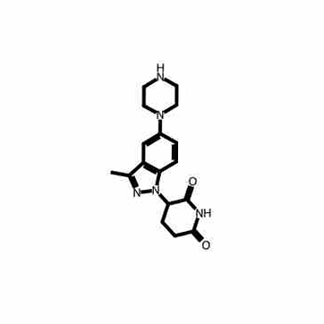 Cc1nn(C2CCC(=O)NC2=O)c2ccc(N3CCNCC3)cc12